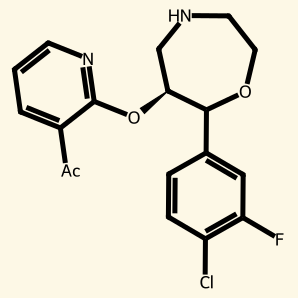 CC(=O)c1cccnc1O[C@H]1CNCCOC1c1ccc(Cl)c(F)c1